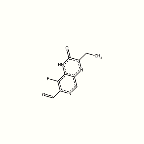 CCc1nc2cnc(C=O)c(F)c2[nH]c1=O